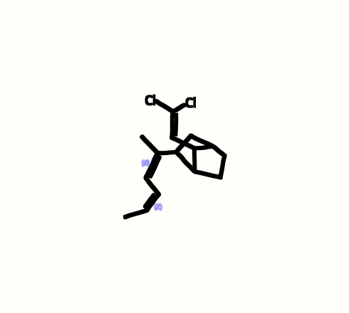 C/C=C\C=C(\C)C1CC2CCC1C2C=C(Cl)Cl